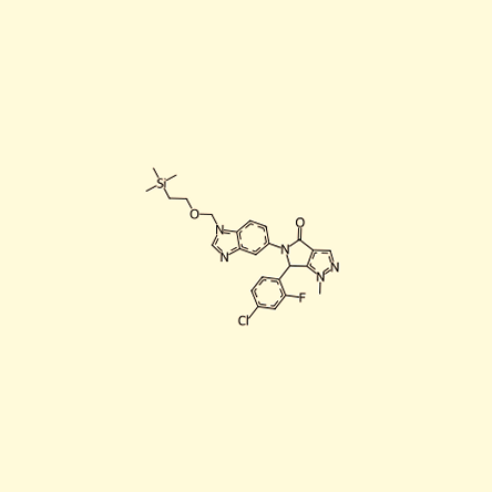 Cn1ncc2c1C(c1ccc(Cl)cc1F)N(c1ccc3c(c1)ncn3COCC[Si](C)(C)C)C2=O